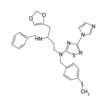 CSc1ccc(CN(CCC(CC2=COCO2)NCc2ccccc2)c2nc(-n3ccnc3)ns2)cc1